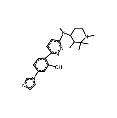 CC1C(N(C)c2ccc(-c3ccc(-n4ccnc4)cc3O)nn2)CCN(C)C1(C)C